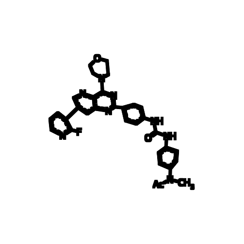 CC(=O)N(C)c1ccc(NC(=O)Nc2ccc(-c3nc(N4CCOCC4)c4ncc(-c5cccnc5F)cc4n3)cc2)cc1